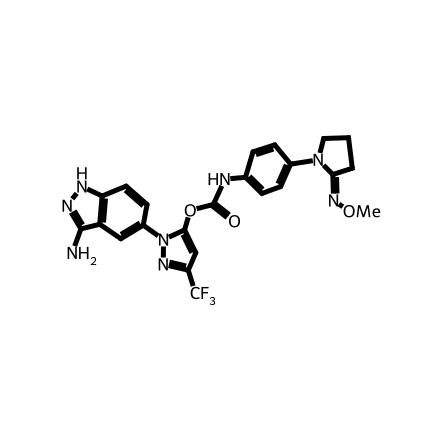 CON=C1CCCN1c1ccc(NC(=O)Oc2cc(C(F)(F)F)nn2-c2ccc3[nH]nc(N)c3c2)cc1